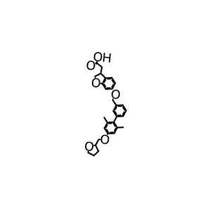 Cc1cc(OCC2CCCO2)cc(C)c1-c1cccc(COc2ccc3c(c2)OCC3CC(=O)O)c1